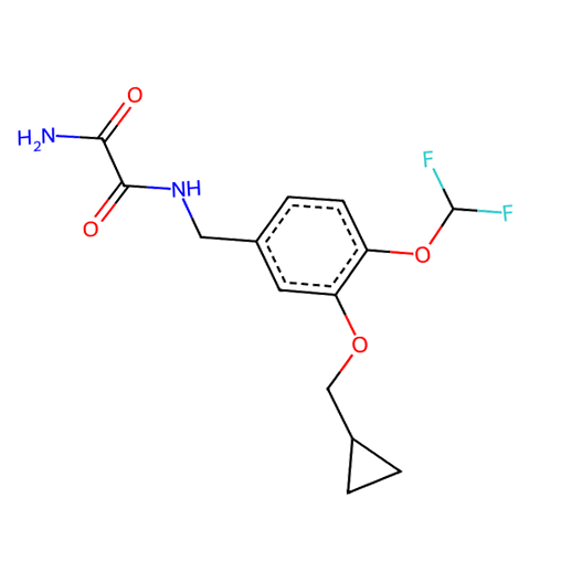 NC(=O)C(=O)NCc1ccc(OC(F)F)c(OCC2CC2)c1